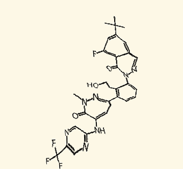 Cn1nc(-c2cccc(-n3ncc4cc(C(C)(C)C)cc(F)c4c3=O)c2CO)cc(Nc2cnc(C(F)(F)F)cn2)c1=O